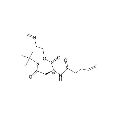 C=CCCC(=O)N[C@@H](CC(=O)SC(C)(C)C)C(=O)OCCN=C